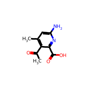 CC(=O)c1c(C)cc(N)nc1C(=O)O